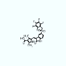 Cc1[nH]c(/C=C2\C(=O)Nc3ccc(S(=O)(=O)Cc4c(F)c(F)c(F)c(F)c4F)cc32)c(C)c1C(=O)O